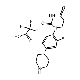 O=C(O)C(F)(F)F.O=C1CCN(c2ccc(N3CCNCC3)cc2F)C(=O)N1